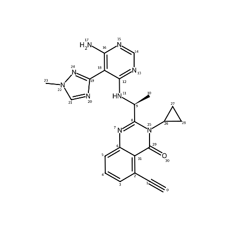 C#Cc1cccc2nc([C@H](C)Nc3ncnc(N)c3-c3ncn(C)n3)n(C3CC3)c(=O)c12